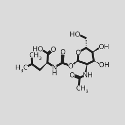 CC(=O)N[C@H]1[C@@H](OC(=O)N[C@@H](CC(C)C)C(=O)O)O[C@H](CO)[C@@H](O)[C@@H]1O